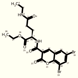 CCNC(=O)CC[C@@H](NC(=O)c1cc2cc(Br)cc(Br)c2oc1=O)C(=O)OCC